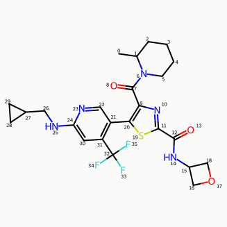 CC1CCCCN1C(=O)c1nc(C(=O)NC2COC2)sc1-c1cnc(NCC2CC2)cc1C(F)(F)F